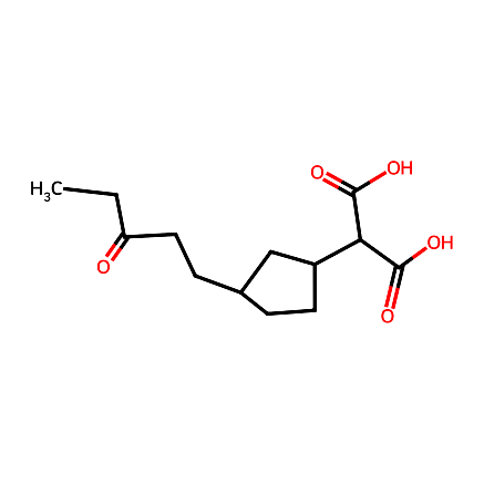 CCC(=O)CCC1CCC(C(C(=O)O)C(=O)O)C1